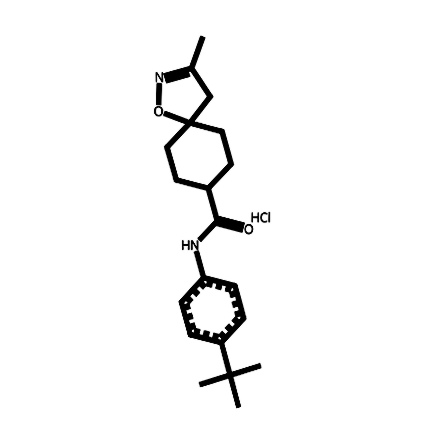 CC1=NOC2(CCC(C(=O)Nc3ccc(C(C)(C)C)cc3)CC2)C1.Cl